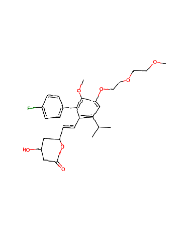 COCCOCCOc1cc(C(C)C)c(C=CC2CC(O)CC(=O)O2)c(-c2ccc(F)cc2)c1OC